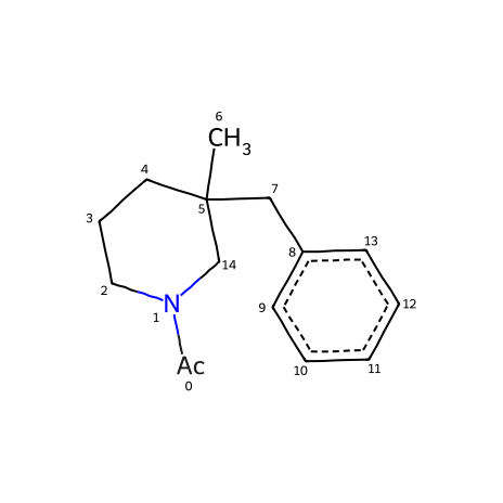 CC(=O)N1CCCC(C)(Cc2ccccc2)C1